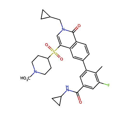 Cc1c(F)cc(C(=O)NC2CC2)cc1-c1ccc2c(=O)n(CC3CC3)cc(S(=O)(=O)C3CCN(C(=O)O)CC3)c2c1